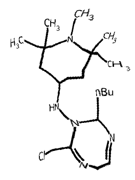 CCCCC1N=CN=C(Cl)N1NC1CC(C)(C)N(C)C(C)(C)C1